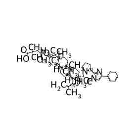 C=C(C)[C@@H]1CC[C@]2(C(=O)N3CCC[C@H]3c3nc(-c4ccccc4)cn3C)CC[C@]3(C)[C@H](CC[C@@H]4[C@@]5(C)CC[C@H](OC(=O)CC(C)(C)C(=O)O)C(C)(C)[C@@H]5CC[C@]43C)[C@@H]12